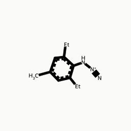 CCc1cc(C)cc(CC)c1N[N+]#N